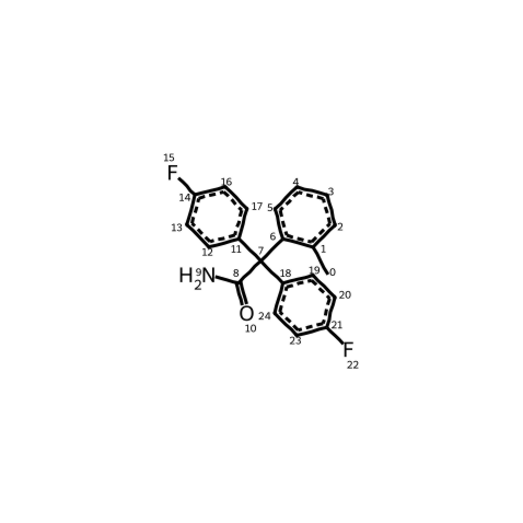 Cc1ccccc1C(C(N)=O)(c1ccc(F)cc1)c1ccc(F)cc1